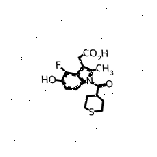 Cc1c(CC(=O)O)c2c(F)c(O)ccc2n1C(=O)C1CCSCC1